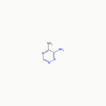 Nc1nncnc1[N+](=O)[O-]